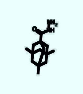 CC12CC3(C)CC(C)(C1)CC(C(=O)NN)(C2)C3